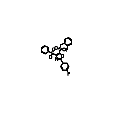 O=S(=O)(Cc1ccccc1F)c1oc(-c2ccc(F)cc2)nc1S(=O)(=O)c1ccccc1